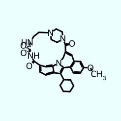 COc1ccc2c(c1)C=C1Cn3c-2c(C2CCCCC2)c2ccc(cc23)C(=O)NS(=O)(=O)NCCN2CCN(CC2)C1=O